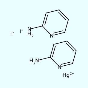 Nc1ccccn1.Nc1ccccn1.[Hg+2].[I-].[I-]